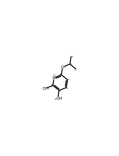 CC(C)Oc1ccc(O)c(Cl)n1